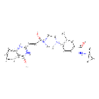 CCc1cc(C(=O)NC2(C)CC2)ccc1N1CCN(C(=O)CCc2nc3ccccc3c(=O)[nH]2)CC1